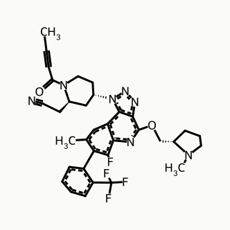 CC#CC(=O)N1CC[C@H](n2nnc3c(OC[C@@H]4CCCN4C)nc4c(F)c(-c5ccccc5C(F)(F)F)c(C)cc4c32)C[C@H]1CC#N